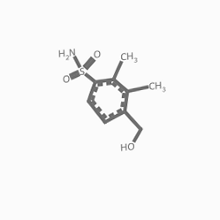 Cc1c(CO)ccc(S(N)(=O)=O)c1C